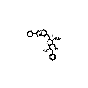 CN/C(C(=O)Nc1ccn2cc(-c3ccccc3)nc2n1)=C(\C=N)C(=O)N(C)Cc1ccccn1